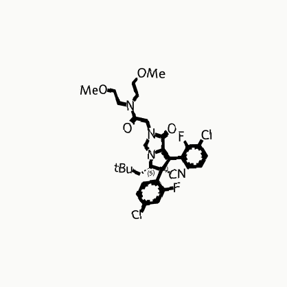 COCCN(CCOC)C(=O)CN1CN2C(=C(c3cccc(Cl)c3F)[C@@](C#N)(c3ccc(Cl)cc3F)[C@@H]2CC(C)(C)C)C1=O